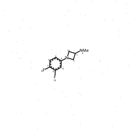 CNC1CN(c2ccc(F)c(F)c2)C1